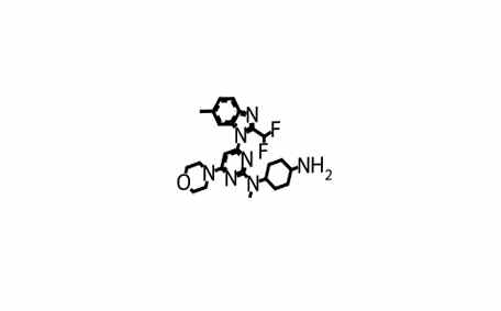 Cc1ccc2nc(C(F)F)n(-c3cc(N4CCOCC4)nc(N(C)C4CCC(N)CC4)n3)c2c1